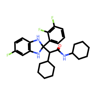 O=C(NC1CCCCC1)C(C1CCCCC1)C1(c2cccc(F)c2F)Nc2ccc(F)cc2N1